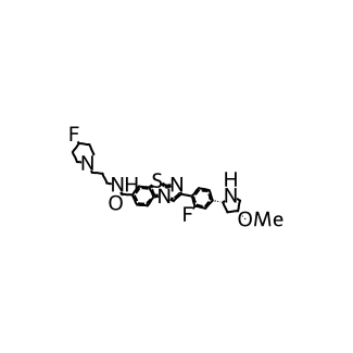 CO[C@H]1CN[C@@H](c2ccc(-c3cn4c(n3)sc3cc(C(=O)NCCCN5CCC(F)CC5)ccc34)c(F)c2)C1